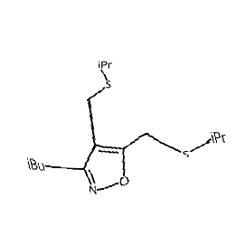 CCC(C)c1noc(CSC(C)C)c1CSC(C)C